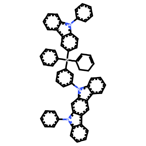 C1=CCCC([Si](c2ccccc2)(c2cccc(-n3c4ccccc4c4cc5c6ccccc6n(-c6ccccc6)c5cc43)c2)c2ccc3c(c2)c2ccccc2n3-c2ccccc2)=C1